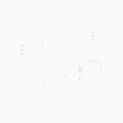 C=CC(c1ccccc1)[N+](C)(C)C.C=Cc1ccccc1-c1ccccc1